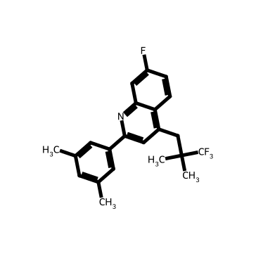 Cc1cc(C)cc(-c2cc(CC(C)(C)C(F)(F)F)c3ccc(F)cc3n2)c1